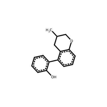 CC1COc2cccc(-c3ccccc3O)c2C1